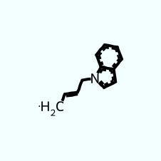 [CH2]C=CCn1ccc2ccccc21